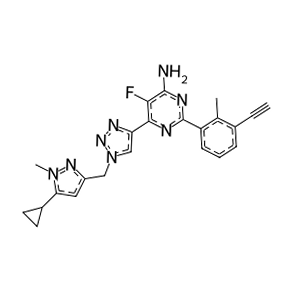 C#Cc1cccc(-c2nc(N)c(F)c(-c3cn(Cc4cc(C5CC5)n(C)n4)nn3)n2)c1C